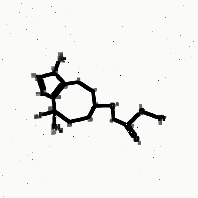 CC(C)OC(=O)COC1CCc2c(nnn2C(C)C)C(F)(P)CC1